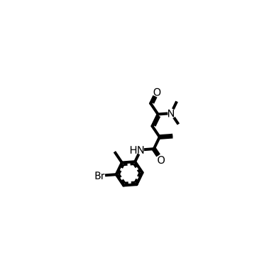 C=C(/C=C(/C=O)N(C)C)C(=O)Nc1cccc(Br)c1C